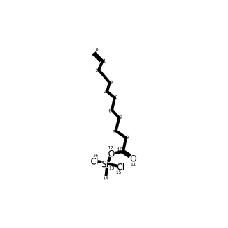 C=CCCCCCCCCC(=O)O[Si](C)(Cl)Cl